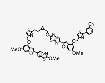 COc1cc(OCc2csc(CCC3CC3COc3nn4cc(-c5cc6c(OCc7csc(-c8cccc(C#N)c8)n7)cc(OC)cc6o5)nc4s3)n2)c2cc(-c3cn4nc(OC)sc4n3)oc2c1